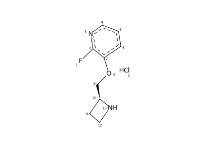 Cl.Fc1ncccc1OC[C@@H]1CCN1